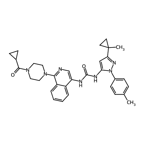 Cc1ccc(-n2nc(C3(C)CC3)cc2NC(=O)Nc2cnc(N3CCN(C(=O)C4CC4)CC3)c3ccccc23)cc1